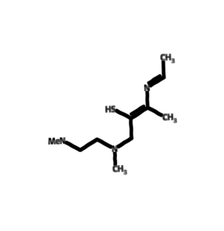 C/C=N/C(C)=C(\S)CN(C)CCNC